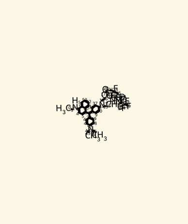 CCNc1ccc(C(=C2C=CC(=[N+](CC)CCOS(=O)(=O)CC(F)(F)CS(=O)(=O)NS(=O)(=O)C(F)(F)F)C=C2)c2ccc(N(CC)CC)cc2)c2ccccc12